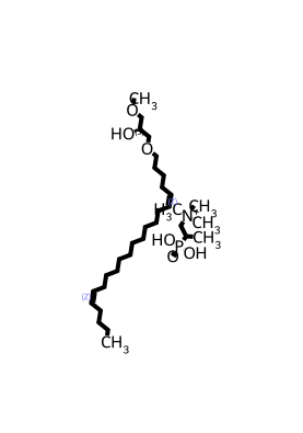 CC(C[N+](C)(C)C)P(=O)(O)O.CCCC/C=C\CCCCCCCCCC/C=C\CCCCOC[C@@H](O)COC